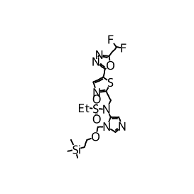 CCS(=O)(=O)N(Cc1ncc(-c2nnc(C(F)F)o2)s1)c1cncn1COCC[Si](C)(C)C